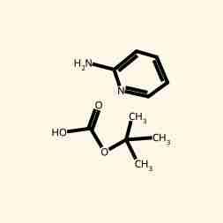 CC(C)(C)OC(=O)O.Nc1ccccn1